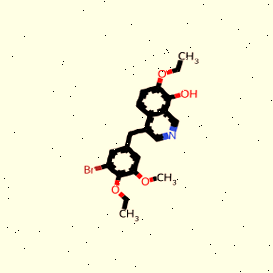 CCOc1ccc2c(Cc3cc(Br)c(OCC)c(OC)c3)cncc2c1O